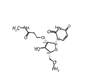 CNC(=O)CCO[C@H]1C(O)[C@@H](COP)O[C@H]1n1ccc(=O)[nH]c1=O